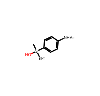 CCC[Si](C)(O)c1ccc(NC(C)=O)cc1